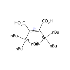 CCC[CH2][Sn]([CH2]CCC)([CH2]CCC)/[C](C(=O)O)=[C](/C(=O)O)[Sn]([CH2]CCC)([CH2]CCC)[CH2]CCC